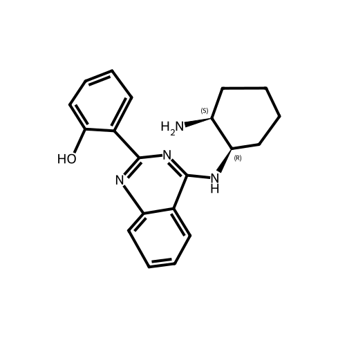 N[C@H]1CCCC[C@H]1Nc1nc(-c2ccccc2O)nc2ccccc12